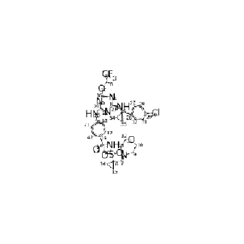 O=C(NS(=O)(=O)C1(CN2CCOCC2)CC1)c1ccc(Nc2nc(NC3(c4ccc(Cl)cc4)CC3)nc(OCC(F)(F)F)n2)cc1